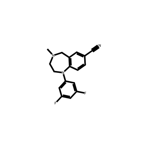 CN1CCN(c2cc(F)cc(F)c2)c2ccc(C#N)cc2C1